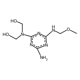 COCNc1nc(N)nc(N(CO)CO)n1